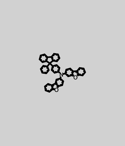 c1ccc(C2(c3ccc(N(c4ccc5c(c4)oc4ccccc45)c4ccc5oc6ccccc6c5c4)cc3)c3ccccc3-c3ccccc32)cc1